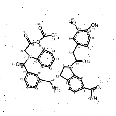 NC(=O)c1ccc2c(c1)N(C(=O)Cc1ccc(O)c(O)c1)CC2.NCc1cccc(C(=O)N(CC(=O)OC(=O)C(F)(F)F)c2ccccc2)c1